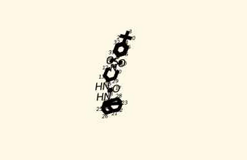 CC(C)(C)c1ccc(S(=O)(=O)N2CCC(NC(=O)NC34CC5CC(CC(C5)C3)C4)CC2)cc1